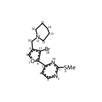 CSc1nccc(-c2occ(CN3CCCCC3)c2Br)n1